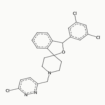 Clc1cc(Cl)cc(C2OC3(CCN(Cc4ccc(Cl)nn4)CC3)c3ccccc32)c1